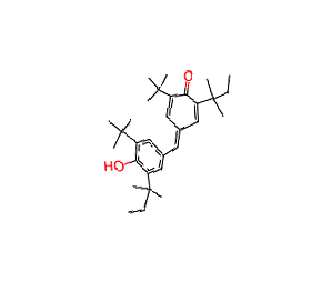 CCC(C)(C)C1=CC(=Cc2cc(C(C)(C)C)c(O)c(C(C)(C)CC)c2)C=C(C(C)(C)C)C1=O